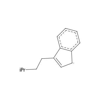 CC(C)CCC1=C[CH]c2ccccc21